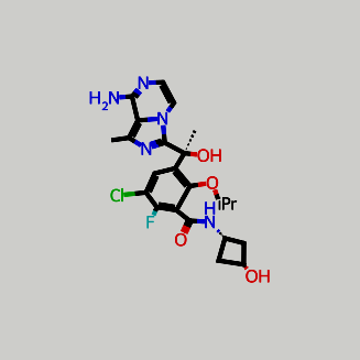 Cc1nc([C@@](C)(O)c2cc(Cl)c(F)c(C(=O)N[C@H]3C[C@H](O)C3)c2OC(C)C)n2ccnc(N)c12